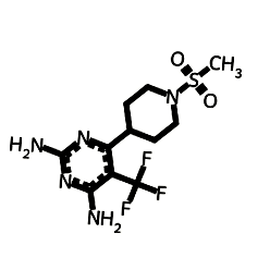 CS(=O)(=O)N1CCC(c2nc(N)nc(N)c2C(F)(F)F)CC1